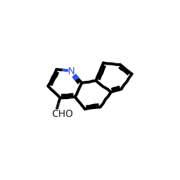 O=Cc1ccnc2c1ccc1ccccc12